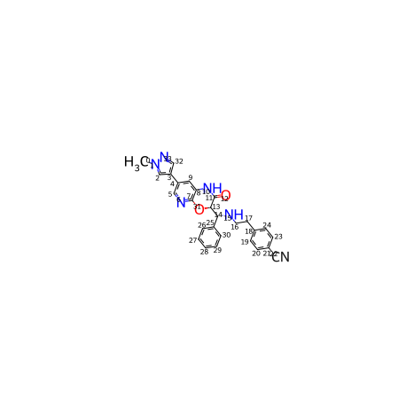 Cn1cc(-c2cnc3c(c2)NC(=O)[C@@H]([C@H](NCCc2ccc(C#N)cc2)c2ccccc2)O3)cn1